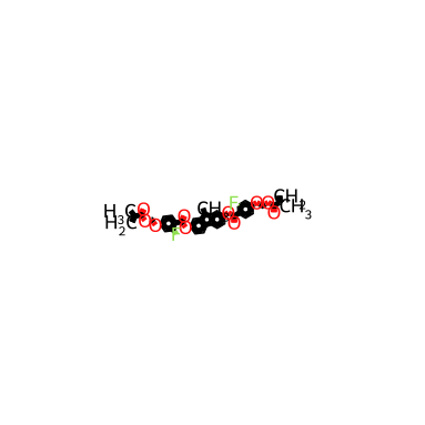 C=C(C)C(=O)OCOc1ccc(C(=O)Oc2ccc3c(c2)C(C)c2cc(OC(=O)c4ccc(OCOC(=O)C(=C)C)cc4F)ccc2-3)c(F)c1